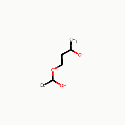 CCC(O)OCCC(C)O